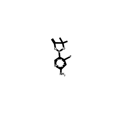 C=C1OB(c2cnc(N)cc2F)OC1(C)C